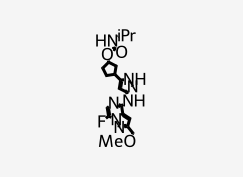 COCc1cc2c(Nc3cc(C4CCC(OC(=O)NC(C)C)C4)[nH]n3)ncc(F)n2n1